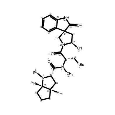 CC(C)N1[C@H](C(=O)N(C)[C@@H](CC(C)(C)C)C(=O)N2C[C@]3(C[C@H]2C#N)C(=O)Nc2ccccc23)C[C@@H]2CCC[C@@H]21